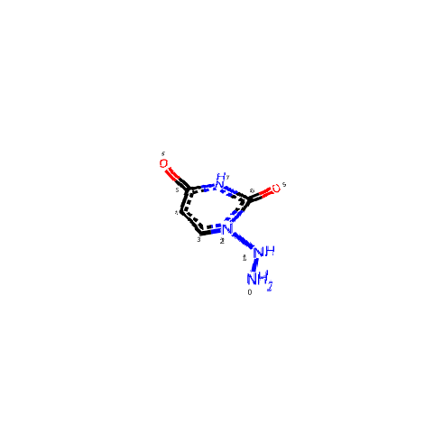 NNn1ccc(=O)[nH]c1=O